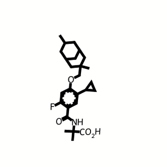 CC1CC2CC(C1)CC(C)(COc1cc(F)c(C(=O)NC(C)(C)C(=O)O)cc1C1CC1)C2